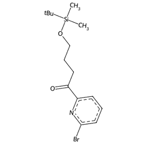 CC(C)(C)[Si](C)(C)OCCCC(=O)c1cccc(Br)n1